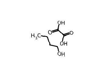 CCCCO.O=C(O)C(=O)O